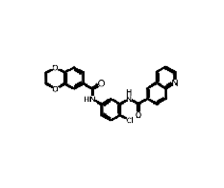 O=C(Nc1ccc(Cl)c(NC(=O)c2ccc3ncccc3c2)c1)c1ccc2c(c1)OCCO2